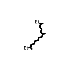 CCC(C)=CCCCC[CH]C(C)CCC=C(C)CC